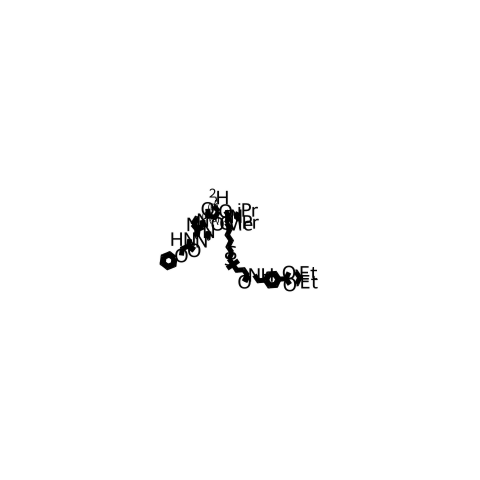 [2H]C[C@H]1O[C@@H](n2cnc3c(NC(=O)COc4ccccc4)ncnc32)[C@@H](OC)C1OP(OCCCCSSC(C)(C)CCC(=O)NCc1ccc(C2OCC(CC)(CC)CO2)cc1)N(C(C)C)C(C)C